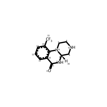 O=C1N[C@H]2CNCCN2c2c1cccc2C(F)(F)F